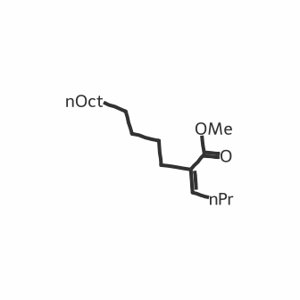 CCCC=C(CCCCCCCCCCCC)C(=O)OC